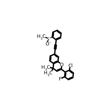 C[S+]([O-])c1ccccc1C#Cc1ccc2c(c1)OC(c1c(F)cccc1Cl)=CC2(C)C